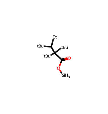 CCC(C(C)(C)C)C(C(=O)O[SiH3])(C(C)(C)C)C(C)(C)C